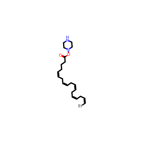 CC/C=C\C/C=C\C/C=C\C/C=C\C/C=C\CCCC(=O)ON1CCNCC1